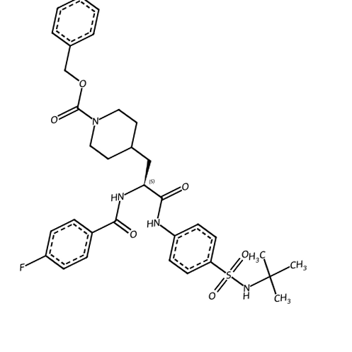 CC(C)(C)NS(=O)(=O)c1ccc(NC(=O)[C@H](CC2CCN(C(=O)OCc3ccccc3)CC2)NC(=O)c2ccc(F)cc2)cc1